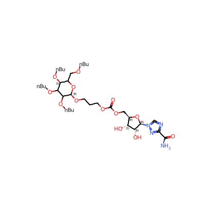 CCCCOCC1O[C@@H](OCCCOC(=O)OC[C@H]2O[C@@H](n3cnc(C(N)=O)n3)[C@H](O)[C@@H]2O)C(OCCCC)C(OCCCC)[C@H]1OCCCC